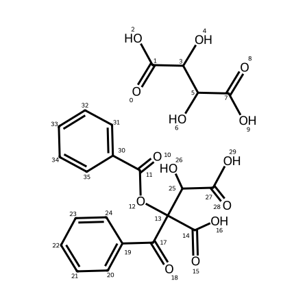 O=C(O)C(O)C(O)C(=O)O.O=C(OC(C(=O)O)(C(=O)c1ccccc1)C(O)C(=O)O)c1ccccc1